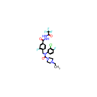 CCN1CCN(C(=O)N(Cc2ccc(C(=O)NNC(=O)C(F)(F)F)cc2F)c2ccc(F)c(Cl)c2)CC1